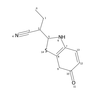 CCC(C#N)C1NC2=C(CC(=O)C=C2)S1